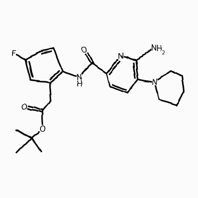 CC(C)(C)OC(=O)Cc1cc(F)ccc1NC(=O)c1ccc(N2CCCCC2)c(N)n1